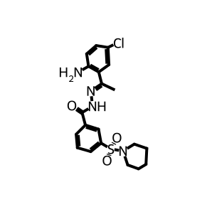 C/C(=N\NC(=O)c1cccc(S(=O)(=O)N2CCCCC2)c1)c1cc(Cl)ccc1N